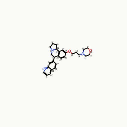 c1cnc2cc(C3CN4CCCC4c4cc(OCCCN5CCOCC5)ccc43)ccc2c1